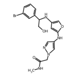 CNC(=O)Cn1cc(Nc2cc(NC(CO)c3cccc(Br)c3)co2)cn1